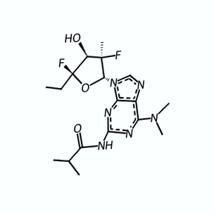 CC[C@@]1(F)O[C@@H](n2cnc3c(N(C)C)nc(NC(=O)C(C)C)nc32)[C@](C)(F)[C@@H]1O